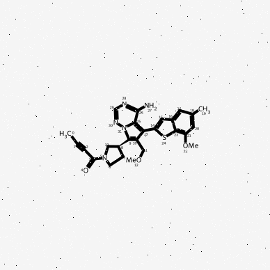 CC#CC(=O)N1CC[C@H](c2c(COC)c(-c3cc4cc(C)cc(OC)c4s3)c3c(N)ncnn23)C1